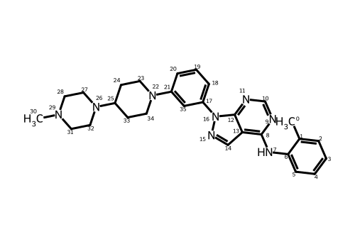 Cc1ccccc1Nc1ncnc2c1cnn2-c1cccc(N2CCC(N3CCN(C)CC3)CC2)c1